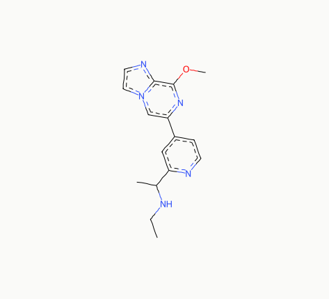 CCNC(C)c1cc(-c2cn3ccnc3c(OC)n2)ccn1